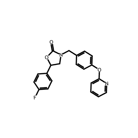 O=C1OC(c2ccc(F)cc2)CN1Cc1ccc(Oc2ccccn2)cc1